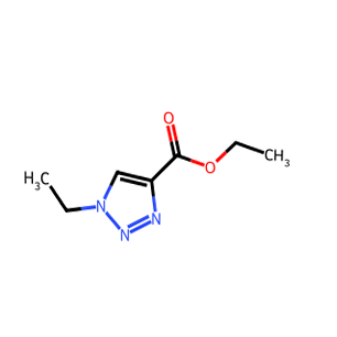 CCOC(=O)c1cn(CC)nn1